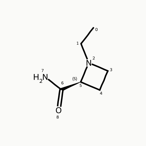 CCN1CC[C@H]1C(N)=O